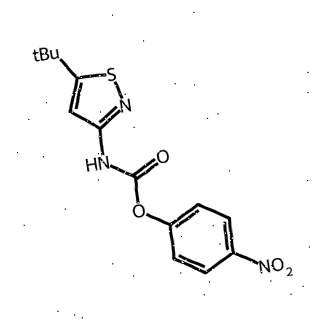 CC(C)(C)c1cc(NC(=O)Oc2ccc([N+](=O)[O-])cc2)ns1